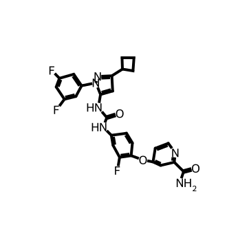 NC(=O)c1cc(Oc2ccc(NC(=O)Nc3cc(C4CCC4)nn3-c3cc(F)cc(F)c3)cc2F)ccn1